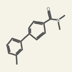 Cc1cccc(-c2ccc(C(=O)N(C)C)cc2)c1